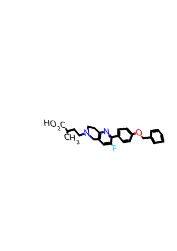 CC(CCN1CCc2nc(-c3ccc(OCc4ccccc4)cc3)c(F)cc2C1)C(=O)O